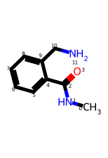 CNC(=O)c1ccccc1CN